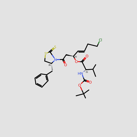 CC(C)[C@H](NC(=O)OC(C)(C)C)C(=O)O[C@H](C=CCCCl)CC(=O)N1C(=S)SC[C@H]1Cc1ccccc1